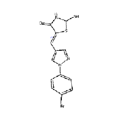 CC(C)c1ccc(-n2cc(/C=C3\SC(S)NC3=O)cn2)cc1